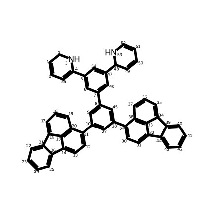 C1=CCNC(c2cc(-c3cc(-c4ccc5c6c(cccc46)-c4ccccc4-5)cc(-c4ccc5c6c(cccc46)-c4ccccc4-5)c3)cc(C3C=CC=CN3)c2)=C1